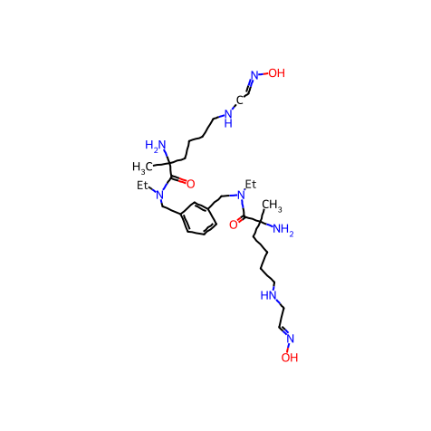 CCN(Cc1cccc(CN(CC)C(=O)C(C)(N)CCCCNCC=NO)c1)C(=O)C(C)(N)CCCCNCC=NO